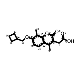 Cc1c(CC(=O)O)c(=O)oc2c(C)c(OCC3CCC3)ccc12